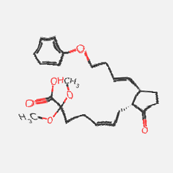 COC(CC/C=C\C[C@H]1C(=O)CC[C@@H]1/C=C/CCOc1ccccc1)(OC)C(=O)O